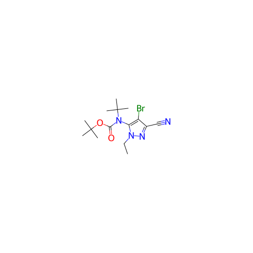 CCn1nc(C#N)c(Br)c1N(C(=O)OC(C)(C)C)C(C)(C)C